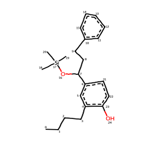 CCCCc1cc(C(CCc2ccccc2)O[Si](C)(C)C)ccc1O